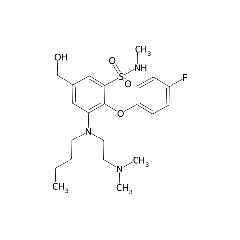 CCCCN(CCN(C)C)c1cc(CO)cc(S(=O)(=O)NC)c1Oc1ccc(F)cc1